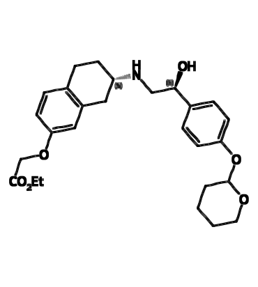 CCOC(=O)COc1ccc2c(c1)C[C@@H](NC[C@@H](O)c1ccc(OC3CCCCO3)cc1)CC2